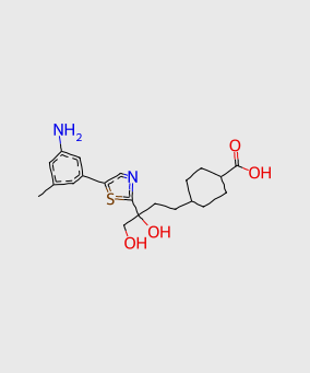 Cc1cc(N)cc(-c2cnc(C(O)(CO)CCC3CCC(C(=O)O)CC3)s2)c1